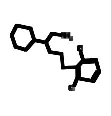 NCC(CCCc1c(Cl)cccc1Cl)C1CCCCC1